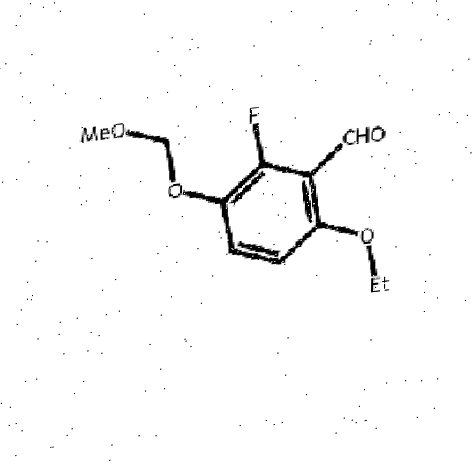 CCOc1ccc(OCOC)c(F)c1C=O